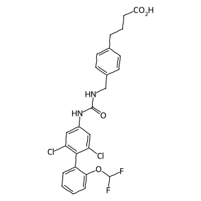 O=C(O)CCCc1ccc(CNC(=O)Nc2cc(Cl)c(-c3ccccc3OC(F)F)c(Cl)c2)cc1